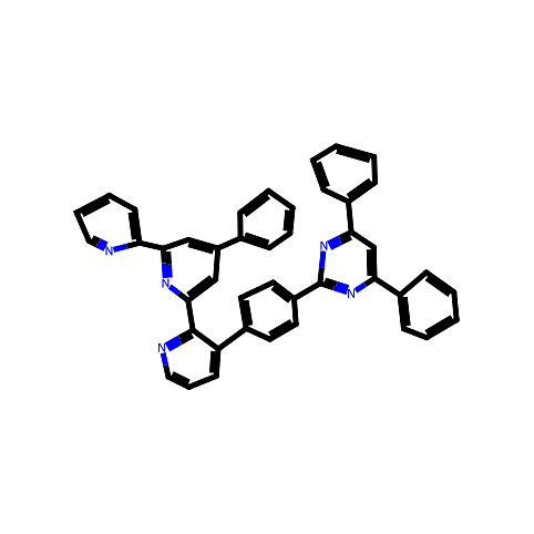 c1ccc(-c2cc(-c3ccccn3)nc(-c3ncccc3-c3ccc(-c4nc(-c5ccccc5)cc(-c5ccccc5)n4)cc3)c2)cc1